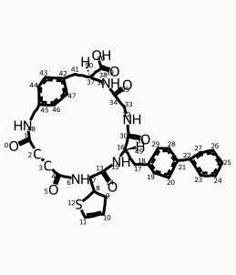 O=C1CCC(=O)NC(C2CC=CS2)C(=O)N[C@@H](Cc2ccc(-c3ccccc3)cc2)C(=O)NCC(=O)N[C@H](C(=O)O)Cc2ccc(cc2)N1